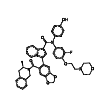 C[C@@H]1Cc2ccccc2CN1C(=O)c1cc2c(cc1-c1cc(C(=O)N(c3ccc(O)cc3)c3ccc(OCCN4CCOCC4)c(F)c3)c3ccccn13)OCO2